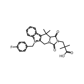 CC(C)(CN1C(=O)C2N(Cc3c(c4ccccc4n3Cc3ccc(F)cc3)C2(C)C)C1=O)C(=O)O